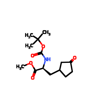 COC(=O)[C@H](CC1CCC(=O)C1)NC(=O)OC(C)(C)C